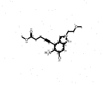 COCCn1cc2c(C#CCCC(=O)OC)c(N)c(Cl)cc2n1